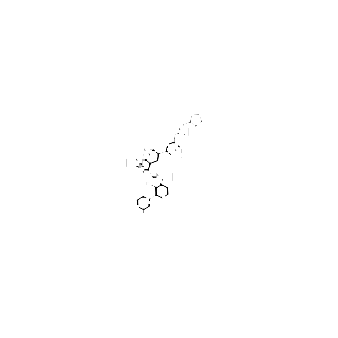 Fc1cccc(-c2cccc3[nH]c(-c4n[nH]c5ncc(-c6cncc(CNCC7CCCC7)c6)cc45)nc23)c1